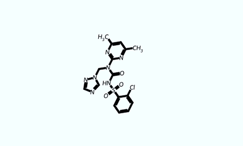 Cc1cc(C)nc(N(Cn2cncn2)C(=O)NS(=O)(=O)c2ccccc2Cl)n1